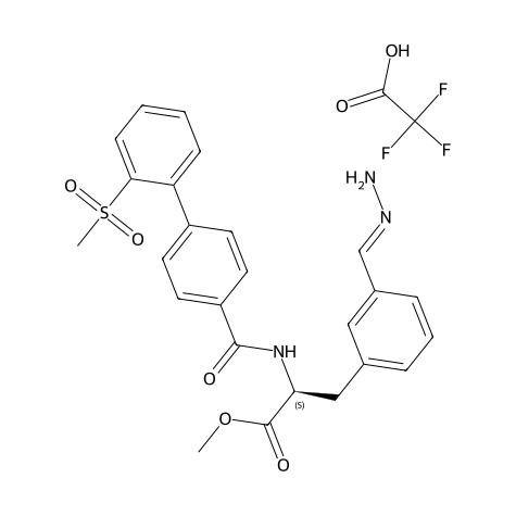 COC(=O)[C@H](Cc1cccc(C=NN)c1)NC(=O)c1ccc(-c2ccccc2S(C)(=O)=O)cc1.O=C(O)C(F)(F)F